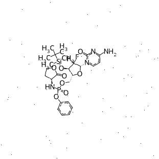 CC(C)(C)[Si](C)(C)O[C@@H]1[C@@H](COP(=O)(N[C@H]2CCOC2=O)Oc2ccccc2)O[C@@H](n2ccc(N)nc2=O)C1(F)F